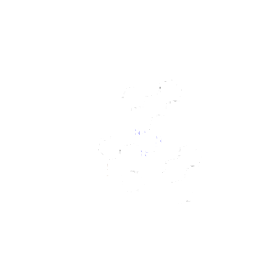 c1ccc2c(c1)cc(-c1nc(-c3cc4ccccc4c4ccccc34)nc(-c3cccc4sc5ccccc5c34)n1)c1ccccc12